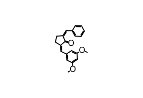 COc1cc(C=C2CCC(=Cc3ccccc3)C2=O)cc(OC)c1